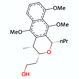 CCC[C@@H]1O[C@H](CCO)[C@H](C)c2c1c(OC)c1c(OC)cccc1c2OC